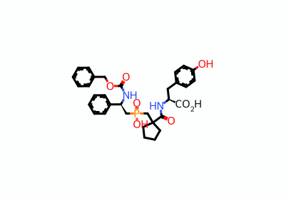 O=C(N[C@@H](CP(=O)(O)CC1(C(=O)N[C@@H](Cc2ccc(O)cc2)C(=O)O)CCCC1)c1ccccc1)OCc1ccccc1